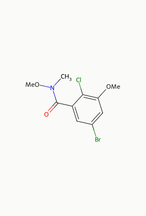 COc1cc(Br)cc(C(=O)N(C)OC)c1Cl